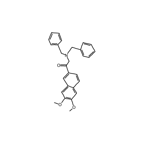 COc1cc2ccc(C(=O)CN(Cc3ccccc3)Cc3ccccc3)cc2cc1OC